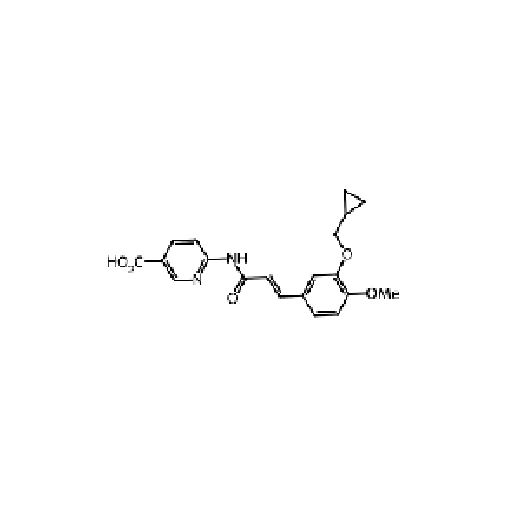 COc1ccc(/C=C/C(=O)Nc2ccc(C(=O)O)cn2)cc1OCC1CC1